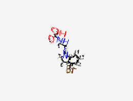 O=C(O)NCCN1CCc2c(Br)cccc21